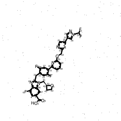 O=C(O)c1cc(F)c2nc(Cc3cc(F)c(-c4cccc(OCc5ncc(-c6cnn(C(F)F)c6)s5)n4)cc3F)n(C[C@@H]3CCO3)c2c1